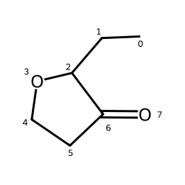 CCC1OCCC1=O